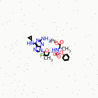 CC(C)OC(=O)[C@H](C)N[P@](=O)(OC[C@@H]1C[C@@](C)(F)[C@H](n2cnc3c(NC4CC4)nc(N)nc32)O1)Oc1ccccc1